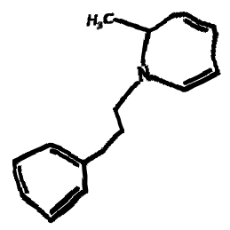 CC1C=CC=CN1CCc1ccccc1